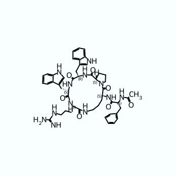 CC(=O)N[C@@H](Cc1ccccc1)C(=O)N[C@H]1CCCNC(=O)[C@H](CCCNC(=N)N)NC(=O)[C@H](Cc2c[nH]c3ccccc23)NC(=O)[C@@H](Cc2c[nH]c3ccccc23)NC(=O)[C@@H]2CCCN2C1=O